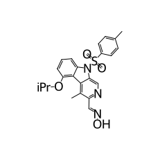 Cc1ccc(S(=O)(=O)n2c3cccc(OC(C)C)c3c3c(C)c(/C=N/O)ncc32)cc1